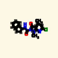 Cc1cc(Cl)nc2c1c(=O)n(C(=O)N[C@H]1CCc3ccccc31)n2C